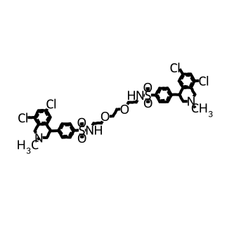 CN1Cc2c(Cl)cc(Cl)cc2C(c2ccc(S(=O)(=O)NCCOCCOCCNS(=O)(=O)c3ccc(C4CN(C)Cc5c(Cl)cc(Cl)cc54)cc3)cc2)C1